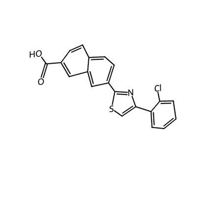 O=C(O)c1ccc2ccc(-c3nc(-c4ccccc4Cl)cs3)cc2c1